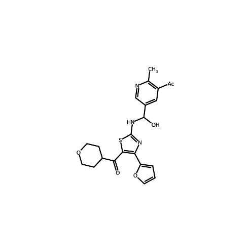 CC(=O)c1cc(C(O)Nc2nc(-c3ccco3)c(C(=O)C3CCOCC3)s2)cnc1C